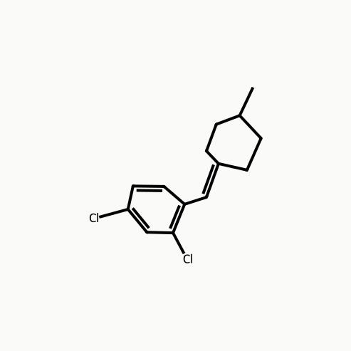 CC1CCC(=Cc2ccc(Cl)cc2Cl)CC1